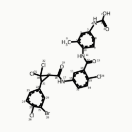 Cc1cc(NC(=O)O)ccc1NC(=O)c1cc(NC(=O)C2C(c3ccc(Cl)c(Br)c3)C2(Cl)Cl)ccc1Cl